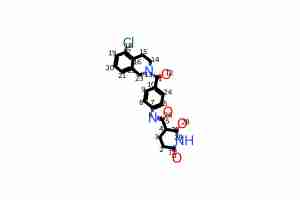 O=C1CCC(c2nc3ccc(C(=O)N4CCc5c(Cl)cccc5C4)cc3o2)C(=O)N1